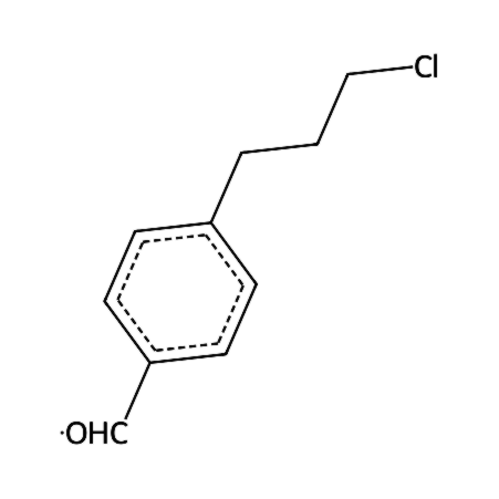 O=[C]c1ccc(CCCCl)cc1